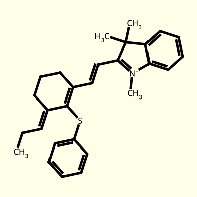 CC/C=C1\CCCC(/C=C/C2=[N+](C)c3ccccc3C2(C)C)=C1Sc1ccccc1